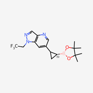 CC1(C)OB([C@H]2CC2c2cnc3cnn(CC(F)(F)F)c3c2)OC1(C)C